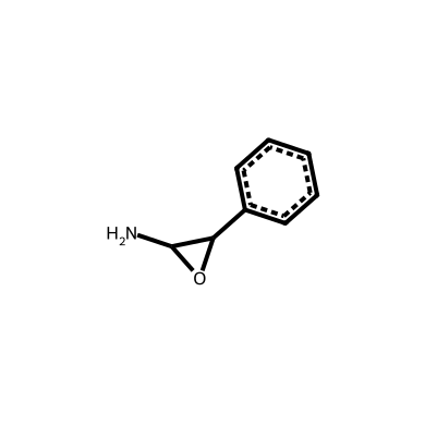 NC1OC1c1ccccc1